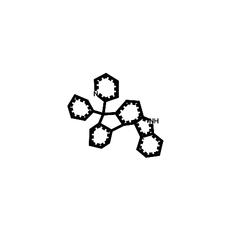 c1ccc(C2(c3ccccn3)c3ccccc3-c3c2ccc2[nH]c4ccccc4c32)cc1